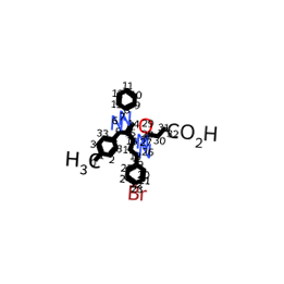 Cc1ccc(-c2nn(-c3ccccc3)cc2C2CC(c3ccc(Br)cc3)=NN2C(=O)CCC(=O)O)cc1